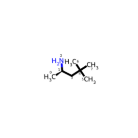 C[C@@H](N)CC(C)(C)C